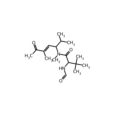 CC(=O)/C(C)=C/C(C(C)C)N(C)C(=O)C(NC=O)C(C)(C)C